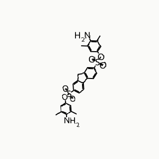 Cc1cc(OS(=O)(=O)c2ccc3c(c2)Cc2cc(S(=O)(=O)Oc4cc(C)c(N)c(C)c4)ccc2-3)cc(C)c1N